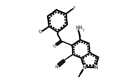 Cn1ncc2cc(N)c(C(=O)c3cc(F)ccc3Cl)c(C#N)c21